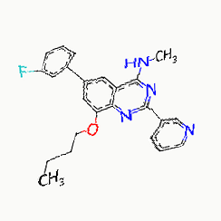 CCCCOc1cc(-c2cccc(F)c2)cc2c(NC)nc(-c3cccnc3)nc12